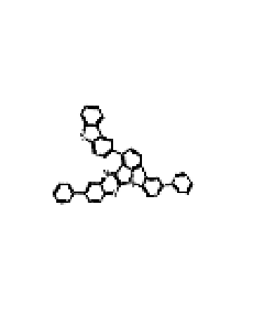 c1ccc(-c2ccc3nc4c(nc3c2)c2c(-c3ccc5sc6ccccc6c5c3)ccc3c5cc(-c6ccccc6)ccc5n4c32)cc1